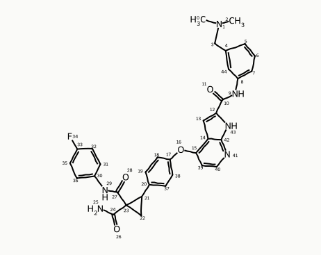 CN(C)Cc1cccc(NC(=O)c2cc3c(Oc4ccc(C5CC5(C(N)=O)C(=O)Nc5ccc(F)cc5)cc4)ccnc3[nH]2)c1